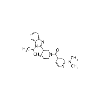 CC(C)n1c(C2CCCN(C(=O)c3ccnc(N(C)C)c3)C2)nc2ccccc21